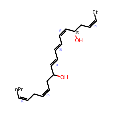 CC/C=C\C[C@H](O)\C=C/C=C/C=C/C(O)C/C=C\C/C=C\CCC